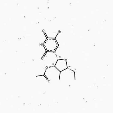 CC[C@H]1O[C@@H](n2cc(Br)c(=O)[nH]c2=O)[C@@H](OC(C)=O)C1C